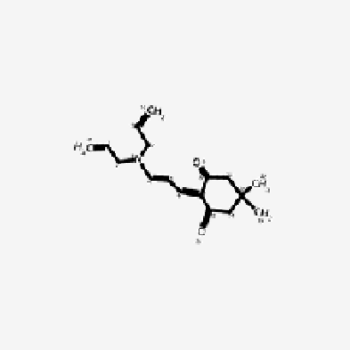 C=CCN(/C=C/C=C1C(=O)CC(C)(C)CC1=O)CC=C